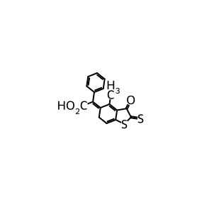 CC1=C2C(=O)C(=S)SC2=CCC1=C(C(=O)O)c1ccccc1